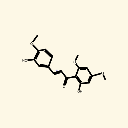 COc1cc(O)c(C(=O)/C=C/c2ccc(OC)c(O)c2)c(OC)c1